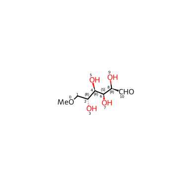 COC[C@@H](O)[C@@H](O)[C@H](O)[C@@H](O)C=O